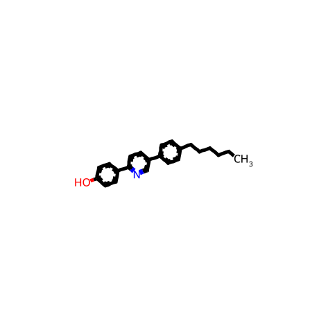 CCCCCCc1ccc(-c2ccc(-c3ccc(O)cc3)nc2)cc1